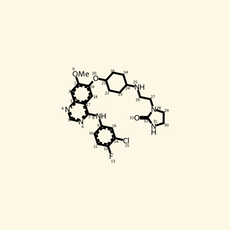 COc1cc2ncnc(Nc3ccc(F)c(Cl)c3)c2cc1OC1CCC(NCCN2CCNC2=O)CC1